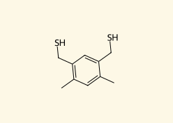 Cc1cc(C)c(CS)cc1CS